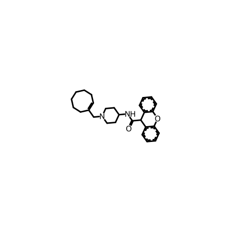 O=C(NC1CCN(CC2=CCCCCCC2)CC1)C1c2ccccc2Oc2ccccc21